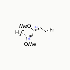 CO/C(C)=C/C(=C\CC(C)C)OC